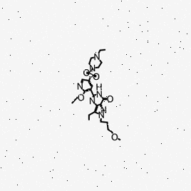 CCOc1ncc(S(=O)(=O)N2CCN(CC)CC2)cc1-c1nc2c(CC)n(CCCCOC)nc2c(=O)[nH]1